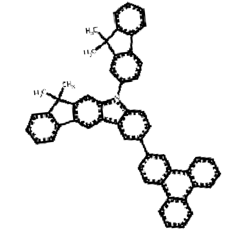 CC1(C)c2ccccc2-c2ccc(-n3c4ccc(-c5ccc6c7ccccc7c7ccccc7c6c5)cc4c4cc5c(cc43)C(C)(C)c3ccccc3-5)cc21